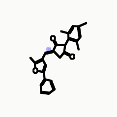 Cc1cc(C)c(C2C(=O)C/C(=C\c3cc(-c4ccccc4)oc3C)C2=O)c(C)c1